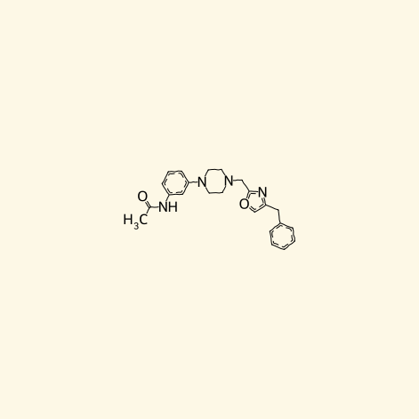 CC(=O)Nc1cccc(N2CCN(Cc3nc(Cc4ccccc4)co3)CC2)c1